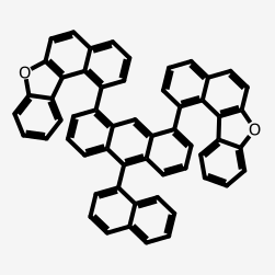 c1ccc2c(-c3c4cccc(-c5cccc6ccc7oc8ccccc8c7c56)c4cc4c(-c5cccc6ccc7oc8ccccc8c7c56)cccc34)cccc2c1